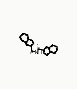 C[C@@H](N[C@H](C)c1ccc2ccccc2c1)c1ccc2ccccc2c1